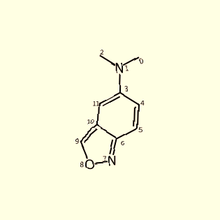 CN(C)c1ccc2nocc2c1